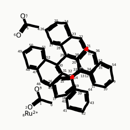 CC(=O)[O-].CC(=O)[O-].[Ru+2].c1ccc(P(c2ccccc2)c2ccc3ccccc3c2-c2c(P(c3ccccc3)c3ccccc3)ccc3ccccc23)cc1